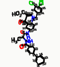 CC(NC(=O)c1ccc(-c2ccccc2)cc1)C(=O)Nc1ccc2c(c1)c(=O)c(C(=O)O)cn2Cc1ccc(Cl)c(Cl)c1